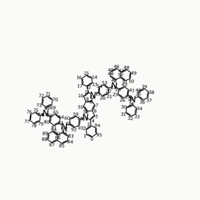 c1ccc(-c2cc3cc4c(cc(-c5ccccc5)n4-c4ccc(N(c5ccc(N(c6ccccc6)c6ccccc6)cc5)c5cccc6ccccc56)cc4)cc3n2-c2ccc(N(c3ccc(N(c4ccccc4)c4ccccc4)cc3)c3cccc4ccccc34)cc2)cc1